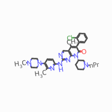 CCCN1CCC[C@H](n2c(=O)c(-c3ccccc3Cl)c(C)c3cnc(Nc4ccc(N5CCN(C)CC5)c(C)n4)nc32)C1